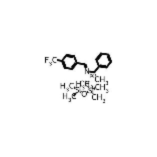 C[C@H](N=Cc1ccc(C(F)(F)F)cc1)c1ccccc1.C[Si](C)(C)O[Si](C)(C)C